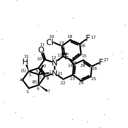 CC1(C)[C@@H]2CC[C@@]1(C)c1c2c(=O)n(-c2ccc(F)cc2Cl)n1Cc1ccc(F)cc1F